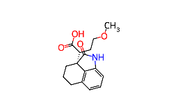 COCCC(C(=O)O)[C@@]12CCCc3cccc(c31)NC2=O